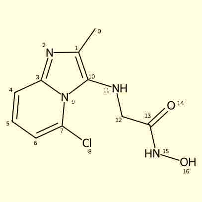 Cc1nc2cccc(Cl)n2c1NCC(=O)NO